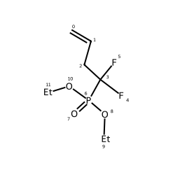 C=CCC(F)(F)P(=O)(OCC)OCC